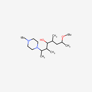 CC(CC(C)C(O)C(C)C(C)N1CCN(C(C)(C)C)CC1)OC(C)(C)C